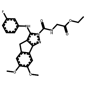 CCOC(=O)CNC(=O)n1nc2c(c1Nc1cccc(F)c1)Cc1cc(OC)c(OC)cc1-2